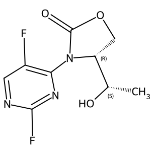 C[C@H](O)[C@H]1COC(=O)N1c1nc(F)ncc1F